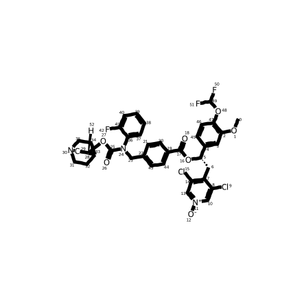 COc1cc([C@H](Cc2c(Cl)c[n+]([O-])cc2Cl)OC(=O)c2ccc(CN(C(=O)O[C@H]3CN4CCC3CC4)c3ccccc3F)cc2)ccc1OC(F)F